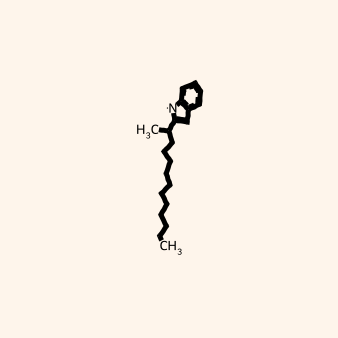 CCCCCCCCCCCC(C)C1=Cc2ccccc2[N]1